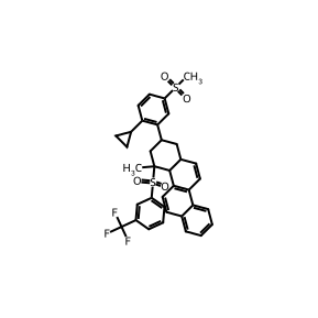 CC1(S(=O)(=O)c2cccc(C(F)(F)F)c2)CC(c2cc(S(C)(=O)=O)ccc2C2CC2)CC2C=Cc3c(ccc4ccccc34)C21